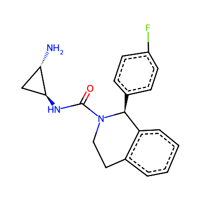 N[C@H]1C[C@@H]1NC(=O)N1CCc2ccccc2[C@@H]1c1ccc(F)cc1